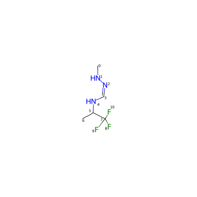 CN/N=C\NC(C)C(F)(F)F